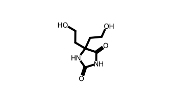 O=C1NC(=O)C(CCO)(CCO)N1